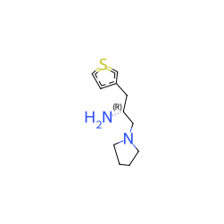 N[C@H](Cc1ccsc1)CN1CCCC1